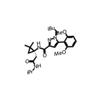 CCC(C)Cn1nc(C(=O)N[C@@]2(CC(=O)NC(C)C)CC2(C)C)cc1-c1c(OC)cccc1OC